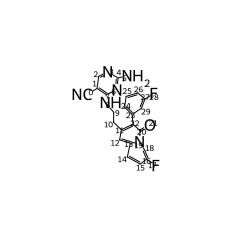 N#Cc1cnc(N)nc1NCCc1cc2ccc(F)cn2c(=O)c1-c1cccc(F)c1